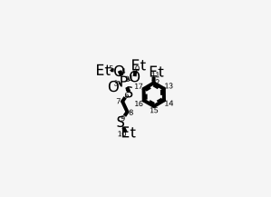 CCOP(=O)(OCC)SCCSCC.CCc1ccccc1